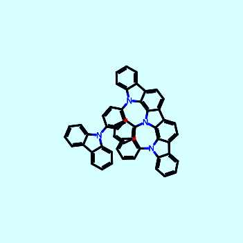 c1ccc(-n2c3ccccc3c3ccc4c5ccc6c7ccccc7n(-c7ccc(-n8c9ccccc9c9ccccc98)cc7)c6c5n(-c5ccccc5)c4c32)cc1